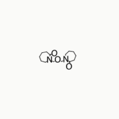 O=C1CCCCCN1COCN1CCCCCC1=O